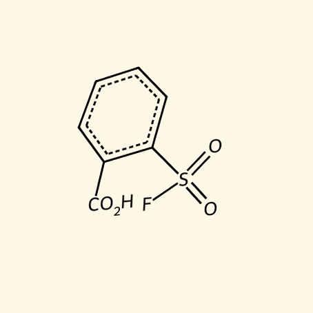 O=C(O)c1ccccc1S(=O)(=O)F